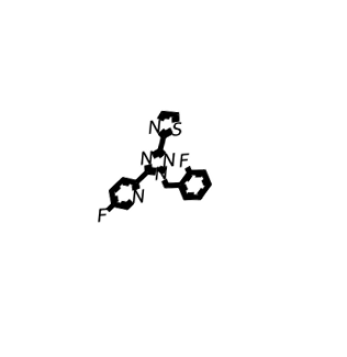 Fc1ccc(-c2nc(-c3nccs3)nn2Cc2ccccc2F)nc1